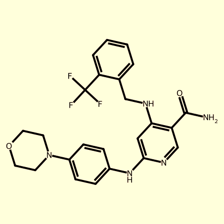 NC(=O)c1cnc(Nc2ccc(N3CCOCC3)cc2)cc1NCc1ccccc1C(F)(F)F